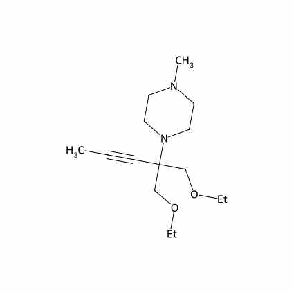 CC#CC(COCC)(COCC)N1CCN(C)CC1